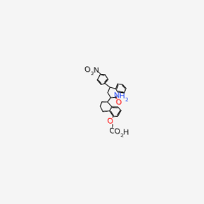 NC(=O)C(CC(c1ccccc1)c1ccc([N+](=O)[O-])cc1)C1CCCc2c(OCC(=O)O)cccc21